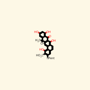 CCCCCc1cc2ccc3c(O)c4c(cc3c2c(O)c1C(=O)O)C(C)(C)c1cc(O)cc(O)c1C4=O